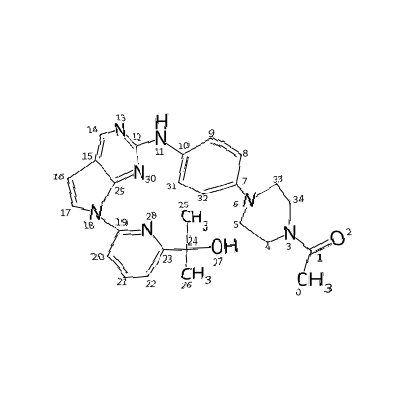 CC(=O)N1CCN(c2ccc(Nc3ncc4ccn(-c5cccc(C(C)(C)O)n5)c4n3)cc2)CC1